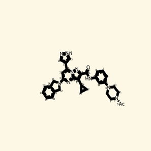 CC(=O)N1CCN(c2cccc(NC(=O)c3nn4c(-c5cn[nH]c5)cc(N5Cc6ccccc6C5)nc4c3C3CC3)c2)CC1